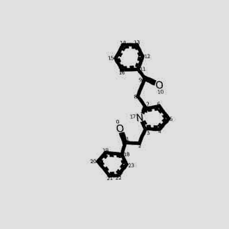 O=C(Cc1cccc(CC(=O)c2ccccc2)n1)c1ccccc1